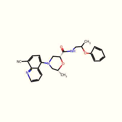 CC(CNC(=O)[C@H]1CN(c2ccc(C#N)c3ncccc23)C[C@@H](C)O1)Oc1ccccc1